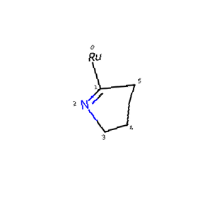 [Ru][C]1=NCCC1